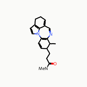 CNC(=O)CCC1C=CC2=C(N=CC3=CCCc4ccn2c43)C1C